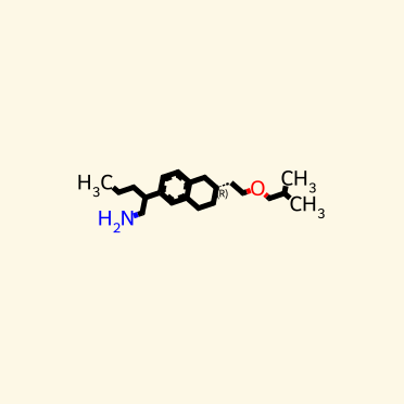 CCCC(CN)c1ccc2c(c1)CC[C@@H](CCOCC(C)C)C2